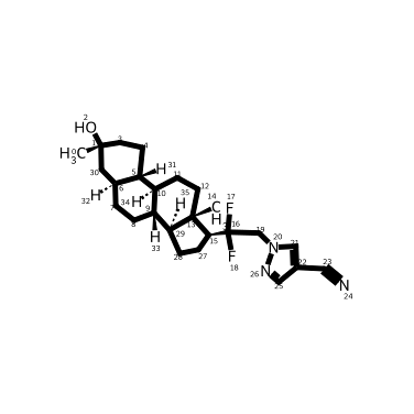 C[C@@]1(O)CC[C@H]2[C@@H](CC[C@@H]3[C@@H]2CC[C@]2(C)[C@@H](C(F)(F)Cn4cc(C#N)cn4)CC[C@@H]32)C1